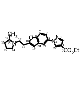 CCOC(=O)c1cnn(-c2ccc3oc(CCN4CCC[C@H]4C)cc3c2)c1